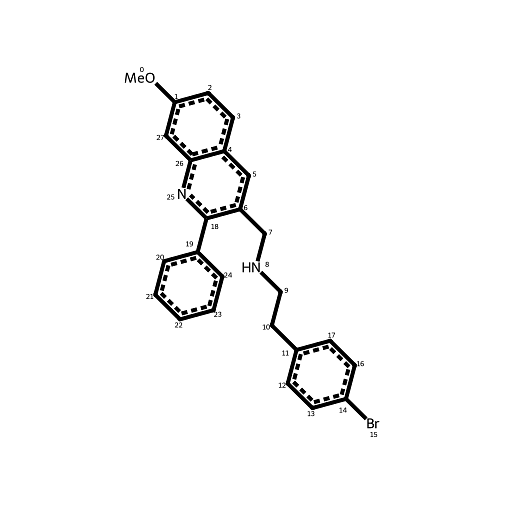 COc1ccc2cc(CNCCc3ccc(Br)cc3)c(-c3ccccc3)nc2c1